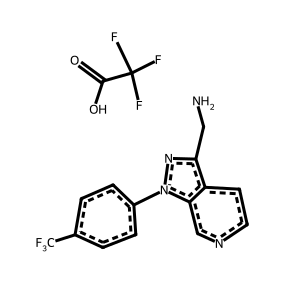 NCc1nn(-c2ccc(C(F)(F)F)cc2)c2cnccc12.O=C(O)C(F)(F)F